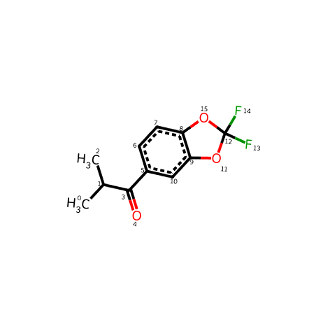 CC(C)C(=O)c1ccc2c(c1)OC(F)(F)O2